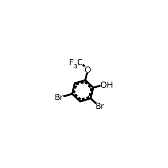 Oc1c(Br)cc(Br)cc1OC(F)(F)F